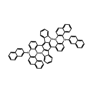 c1cc2c3c(c1)N(c1ccc4ccccc4c1)c1ccc4ccccc4c1B3n1c3ccccc3c3c4c5c(c-2c31)c1ccccc1n5B1c2ccc3ccccc3c2N(c2ccc3ccccc3c2)c2cccc-4c21